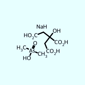 C[As](C)(=O)O.O=C(O)CC(O)(CC(=O)O)C(=O)O.[NaH]